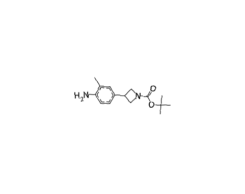 Cc1cc(C2CN(C(=O)OC(C)(C)C)C2)ccc1N